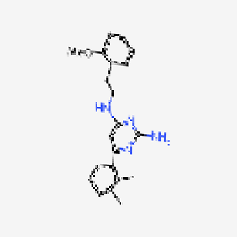 COc1ccccc1CCNc1cc(-c2cccc(C)c2C)nc(N)n1